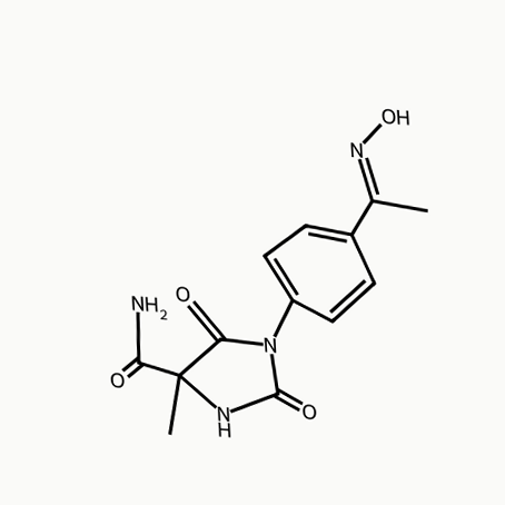 CC(=NO)c1ccc(N2C(=O)NC(C)(C(N)=O)C2=O)cc1